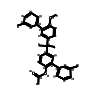 COc1ccc(C(C)(C)c2ccc(OC(C)=O)c(-c3cccc(C)c3)c2)cc1-c1cccc(C)c1